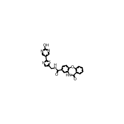 O=C(NCc1cnc(-c2cnc(O)nc2)s1)c1ccc2c(c1)NC(=O)c1ccccc1O2